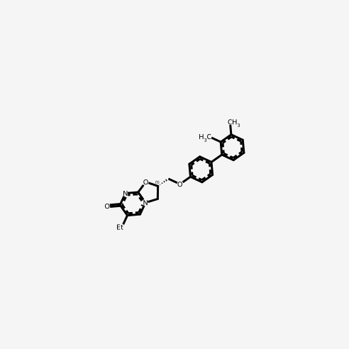 CCc1cn2c(nc1=O)O[C@H](COc1ccc(-c3cccc(C)c3C)cc1)C2